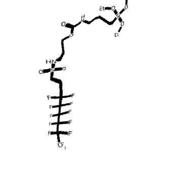 CCO[Si](CCCNC(=O)OCCNS(=O)(=O)CCC(F)(F)C(F)(F)C(F)(F)C(F)(F)C(F)(F)C(F)(F)F)(OCC)OCC